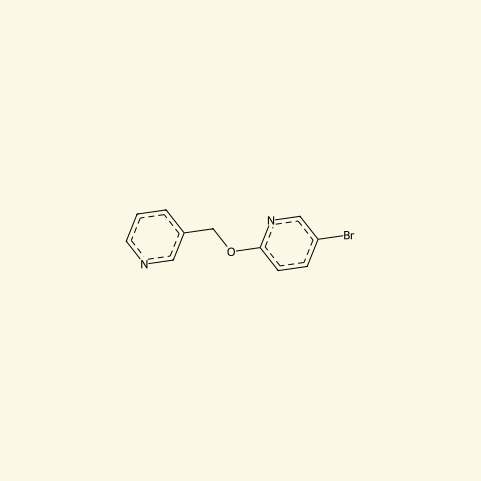 Brc1ccc(OCc2cccnc2)nc1